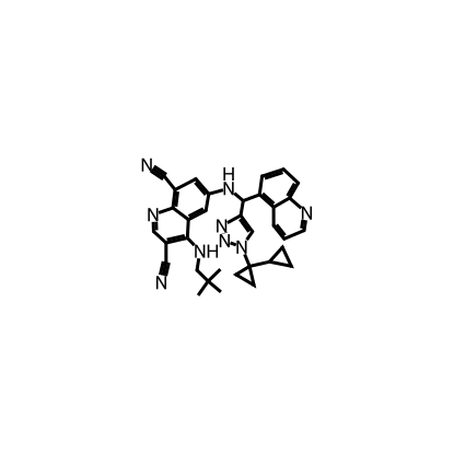 CC(C)(C)CNc1c(C#N)cnc2c(C#N)cc(NC(c3cn(C4(C5CC5)CC4)nn3)c3cccc4ncccc34)cc12